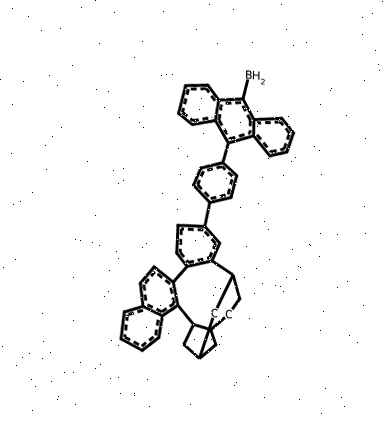 Bc1c2ccccc2c(-c2ccc(-c3ccc4c(c3)C3CCC5CC(C3)CC5c3c-4ccc4ccccc34)cc2)c2ccccc12